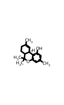 CC1=C[C@H]2c3c(O)cc(C)cc3OC(C)(C)C2CC1